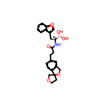 O=C(CCc1ccc2c(c1)COC21CCOC1)N[C@@H](Cc1coc2ccccc12)B(O)O